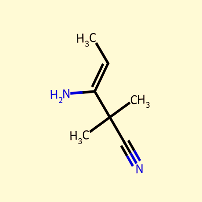 C/C=C(\N)C(C)(C)C#N